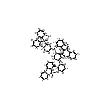 CC1(C)c2ccccc2-c2cccc(-c3ccccc3-c3ccc(N(c4ccc5c(c4)C4(CCc6ccccc64)c4ccccc4-5)c4cccc5sc6c7ccccc7ccc6c45)cc3)c21